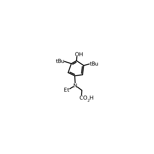 CCN(CC(=O)O)c1cc(C(C)(C)C)c(O)c(C(C)(C)C)c1